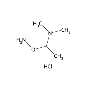 CC(ON)N(C)C.Cl